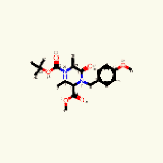 CCC(C(=O)OC)N(Cc1ccc(OC)cc1)C(=O)C(C)NC(=O)OC(C)(C)C